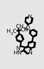 CC(C)(C#N)c1ccc(-c2n[nH]c3cnc4ccc(-c5cccc(Oc6ccncc6)c5)cc4c23)cc1